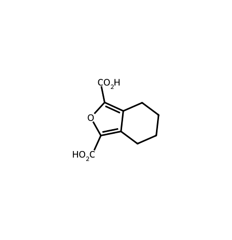 O=C(O)c1oc(C(=O)O)c2c1CCCC2